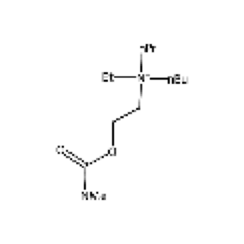 CCCC[N+](CC)(CCC)CCOC(=O)NC